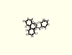 c1ccc(Cc2nc3ccccc3c3ccccc23)cc1